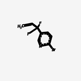 C=CC(F)(F)c1ccc(Br)nc1